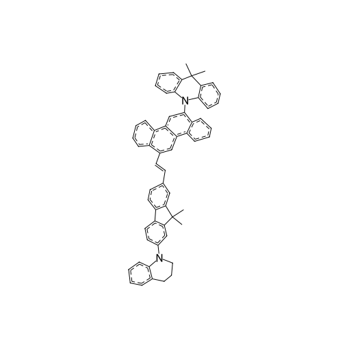 CC1(C)c2cc(/C=C/c3cc4c5ccccc5c(N5c6ccccc6C(C)(C)c6ccccc65)cc4c4ccccc34)ccc2-c2ccc(N3CCCc4ccccc43)cc21